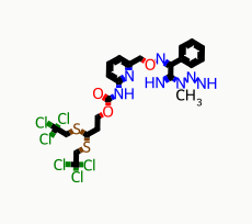 CN(N=N)C(=N)/C(=N\OCc1cccc(NC(=O)OCCC(SCC(Cl)(Cl)Cl)SCC(Cl)(Cl)Cl)n1)c1ccccc1